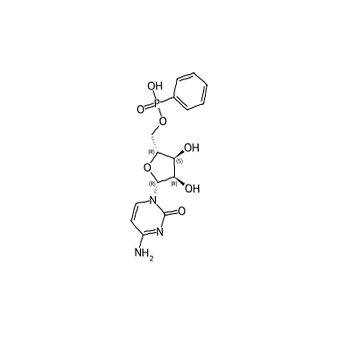 Nc1ccn([C@@H]2O[C@H](COP(=O)(O)c3ccccc3)[C@@H](O)[C@H]2O)c(=O)n1